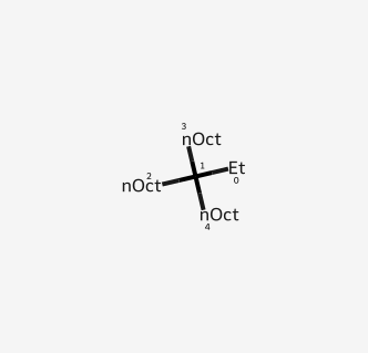 [CH2]CC(CCCCCCCC)(CCCCCCCC)CCCCCCCC